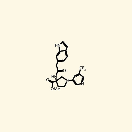 COC(=O)C1(NC(=O)Cc2ccc3cc[nH]c3c2)CCN(c2cncc(C(F)(F)F)c2)C1